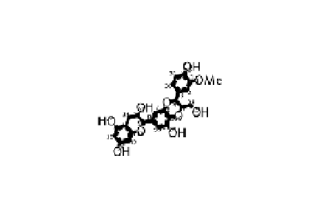 COc1cc(C2Oc3cc(C4Oc5cc(O)cc(O)c5CC4O)cc(O)c3OC2CO)ccc1O